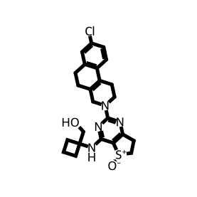 [O-][S@+]1CCc2nc(N3CCC4=C(CCc5cc(Cl)ccc54)C3)nc(NC3(CO)CCC3)c21